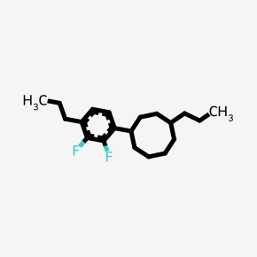 CCCc1ccc(C2CCCCC(CCC)CC2)c(F)c1F